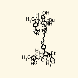 CCN(c1cc(-c2ccc(OCCCCCOCC(=O)NC(C(=O)N3C[C@H](O)C[C@H]3C(=O)N[C@@H](C)c3ccc(-c4scnc4C)cc3)C(C)(C)C)cc2)cc(C(=O)NCc2c(C)cc(C)[nH]c2=O)c1C)C1CCOCC1